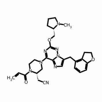 C=CC(=O)N1CCN(c2nc(OC[C@@H]3CCCN3C)nn3c(Cc4cccc5c4CCO5)cnc23)C[C@@H]1CC#N